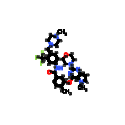 Cc1ccc(C(=O)Nc2ccc(CN3CCN(C)CC3)c(C(F)(F)F)c2)cc1Oc1nc(N2CCOCC2)nc2ccn(C)c12